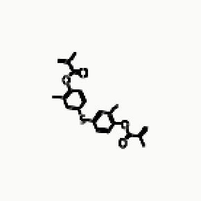 C=C(C)C(=O)Oc1ccc(Sc2ccc(OC(=O)C(=C)C)c(C)c2)cc1C